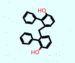 Oc1cccc(Cc2cccc(O)c2-c2ccccc2)c1-c1ccccc1